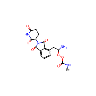 CCNC(=O)OOC(N)Cc1cccc2c1C(=O)N(C1CCC(=O)NC1=O)C2=O